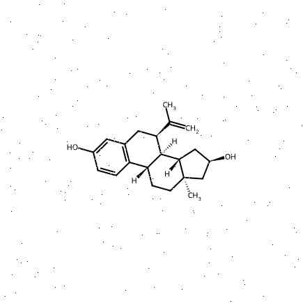 C=C(C)[C@@H]1Cc2cc(O)ccc2[C@H]2CC[C@]3(C)C[C@H](O)C[C@H]3[C@@H]21